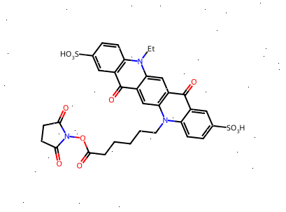 CCn1c2ccc(S(=O)(=O)O)cc2c(=O)c2cc3c(cc21)c(=O)c1cc(S(=O)(=O)O)ccc1n3CCCCCC(=O)ON1C(=O)CCC1=O